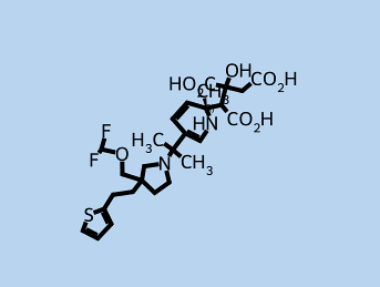 CC(C)(C1=CN[C@@](C)(C(C(=O)O)C(O)(CC(=O)O)C(=O)O)C=C1)N1CCC(CCc2cccs2)(COC(F)F)C1